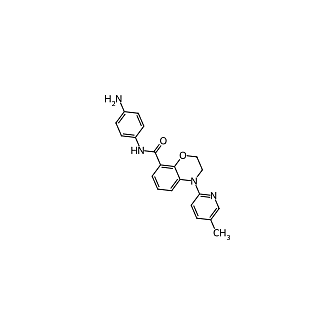 Cc1ccc(N2CCOc3c(C(=O)Nc4ccc(N)cc4)cccc32)nc1